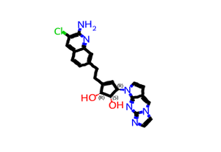 Nc1nc2cc(CCC3=C[C@@H](n4ccc5cn6ccnc6nc54)[C@H](O)[C@@H]3O)ccc2cc1Cl